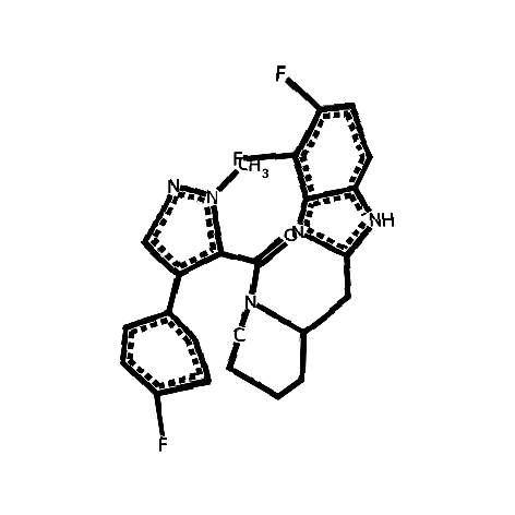 Cn1ncc(-c2ccc(F)cc2)c1C(=O)N1CCCCC1Cc1nc2c(F)c(F)ccc2[nH]1